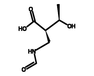 C[C@@H](O)[C@H](CNC=O)C(=O)O